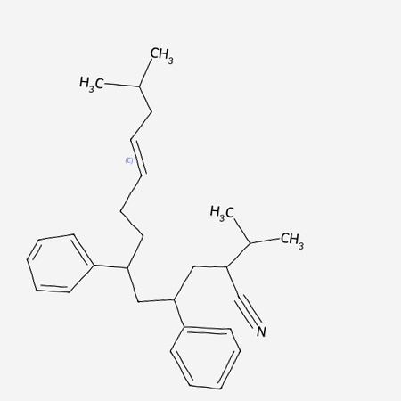 CC(C)C/C=C/CCC(CC(CC(C#N)C(C)C)c1ccccc1)c1ccccc1